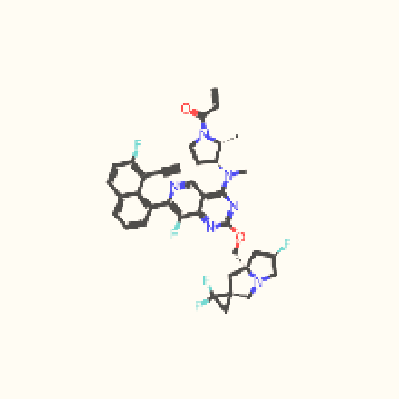 C#Cc1c(F)ccc2cccc(-c3ncc4c(N(C)[C@@H]5CCN(C(=O)C=C)[C@@H]5C)nc(OC[C@]56C[C@@H](F)CN5C[C@]5(CC5(F)F)C6)nc4c3F)c12